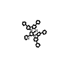 N#Cc1c(-n2c3ccc(-c4ccccc4)cc3c3cc(-c4ccccc4)ccc32)cc(-c2ccccn2)cc1-n1c2ccc(-c3ccccc3)cc2c2cc(-c3ccccc3)ccc21